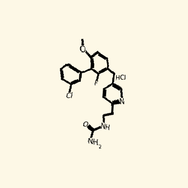 COc1ccc(Cc2ccc(CCNC(N)=O)nc2)c(F)c1-c1cccc(Cl)c1.Cl